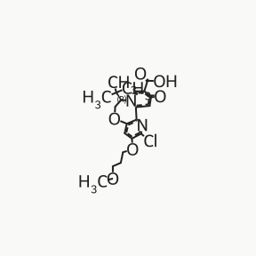 COCCCOc1cc2c(nc1Cl)-c1cc(=O)c(C(=O)O)cn1[C@H](C(C)(C)C)CO2